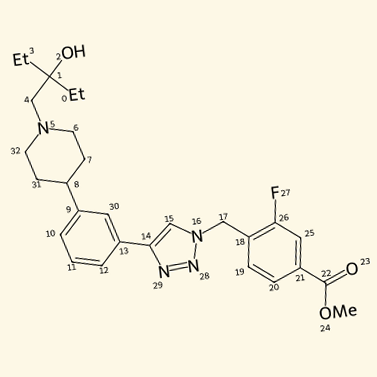 CCC(O)(CC)CN1CCC(c2cccc(-c3cn(Cc4ccc(C(=O)OC)cc4F)nn3)c2)CC1